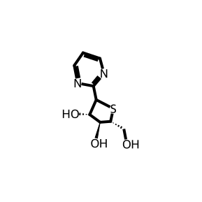 OC[C@H]1SC(c2ncccn2)[C@@H](O)[C@@H]1O